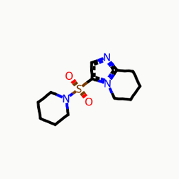 O=S(=O)(c1cnc2n1CCCC2)N1CCCCC1